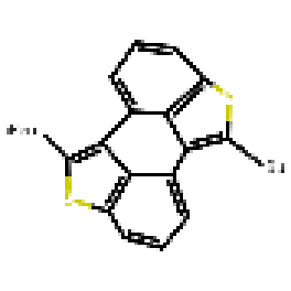 CCCC(C)c1sc2cccc3c4c(C(C)CC)sc5cccc(c1c23)c54